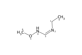 CC/N=C\NOC